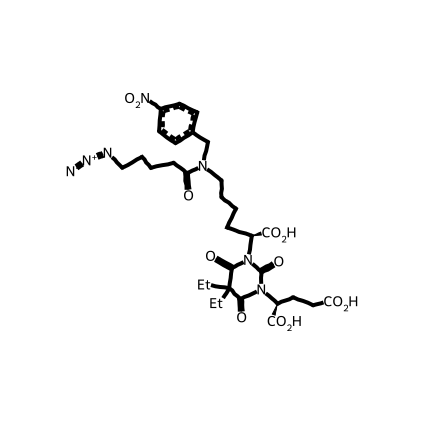 CCC1(CC)C(=O)N([C@@H](CCCCN(Cc2ccc([N+](=O)[O-])cc2)C(=O)CCCCN=[N+]=[N-])C(=O)O)C(=O)N([C@@H](CCC(=O)O)C(=O)O)C1=O